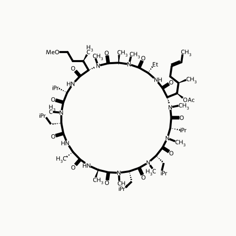 C/C=C/C[C@@H](C)[C@@H](OC(C)=O)[C@H]1C(=O)N[C@@H](CC)C(=O)N(C)[C@H](C)C(=O)N(C)[C@@H]([C@H](C)CCOC)C(=O)N[C@@H](C(C)C)C(=O)N(C)[C@@H](CC(C)C)C(=O)N[C@@H](C)C(=O)N[C@H](C)C(=O)N(C)[C@@H](CC(C)C)C(=O)N(C)[C@@H](CC(C)C)C(=O)N(C)[C@@H](C(C)C)C(=O)N1C